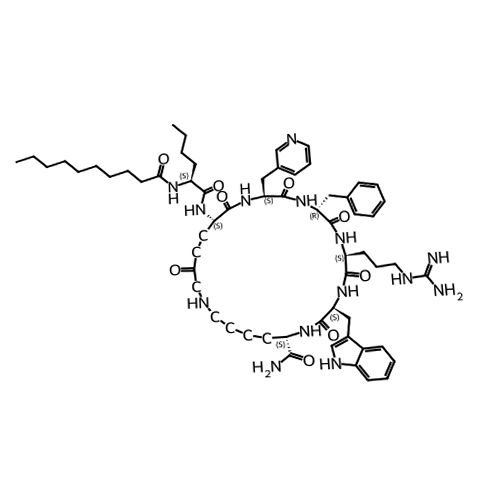 CCCCCCCCCC(=O)N[C@@H](CCCC)C(=O)N[C@H]1CCC(=O)CNCCCC[C@@H](C(N)=O)NC(=O)[C@H](Cc2c[nH]c3ccccc23)NC(=O)[C@H](CCCNC(=N)N)NC(=O)[C@@H](Cc2ccccc2)NC(=O)[C@H](Cc2cccnc2)NC1=O